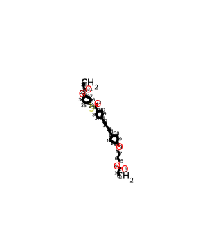 C=CC(=O)OCCCCOc1ccc(C#CC#Cc2ccc(C(=O)Sc3ccc(OC(=O)C=C)cc3)cc2)cc1